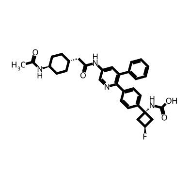 CC(=O)N[C@H]1CC[C@H](CC(=O)Nc2cnc(-c3ccc([C@]4(NC(=O)O)C[C@H](F)C4)cc3)c(-c3ccccc3)c2)CC1